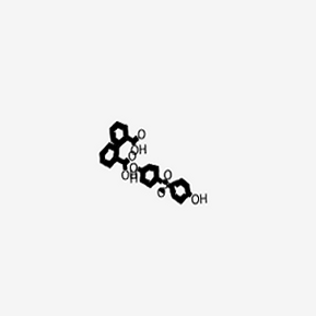 O=C(O)c1ccccc1.O=C(O)c1ccccc1.O=S(=O)(c1ccc(O)cc1)c1ccc(O)cc1